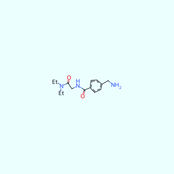 CCN(CC)C(=O)CNC(=O)c1ccc(CN)cc1